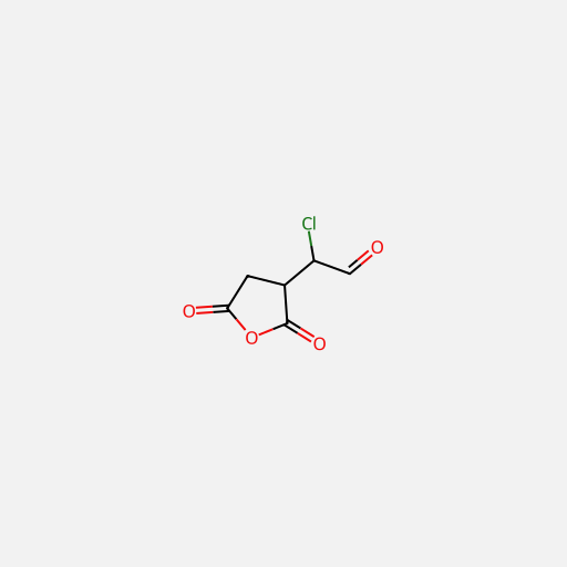 O=CC(Cl)C1CC(=O)OC1=O